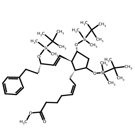 COC(=O)CCC/C=C\C[C@H]1C(O[Si](C)(C)C(C)(C)C)C[C@@H](O[Si](C)(C)C(C)(C)C)[C@@H]1/C=C/[C@H](CCc1ccccc1)O[Si](C)(C)C(C)(C)C